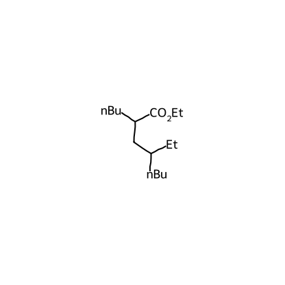 CCCCC(CC)CC(CCCC)C(=O)OCC